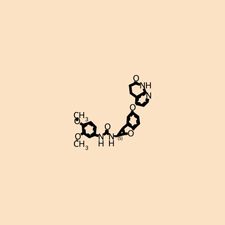 COc1ccc(NC(=O)N[C@@H]2C3Oc4ccc(Oc5ccnc6c5CCC(=O)N6)cc4C32)cc1OC